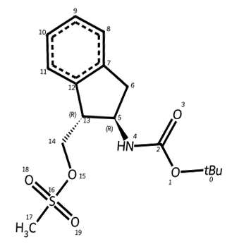 CC(C)(C)OC(=O)N[C@@H]1Cc2ccccc2[C@H]1COS(C)(=O)=O